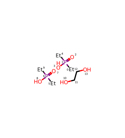 CCP(=O)(O)CC.CCP(=O)(O)CC.OCCO